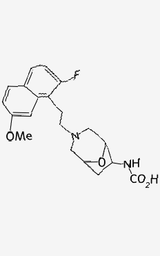 COc1ccc2ccc(F)c(CCN3CC4CC(NC(=O)O)C(C3)O4)c2c1